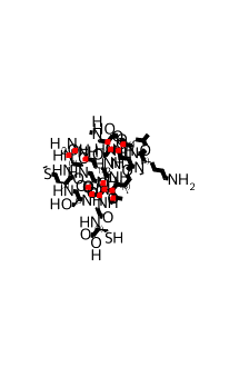 CC[C@H](C)[C@H](NC(=O)[C@H](CCCNC(=N)N)NC(=O)[C@H](CC(=O)O)NC(=O)[C@H](CC(C)C)NC(=O)[C@H](CCCCN)N(C)C(=O)C[C@H](N)C(=O)NCCNC)C(=O)NCC(=O)N[C@@H](CO)C(=O)N[C@@H](CCSC)C(=O)N[C@@H](CO)C(=O)NCC(=O)N[C@@H](CC(C)C)C(=O)NCC(=O)N[C@@H](CS)C(=O)O